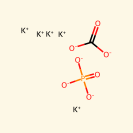 O=C([O-])[O-].O=P([O-])([O-])[O-].[K+].[K+].[K+].[K+].[K+]